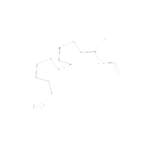 C=COC(=O)C1CC2CC1C1C(CO)CCC21